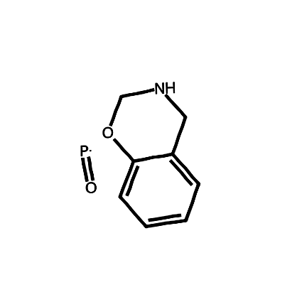 O=[P].c1ccc2c(c1)CNCO2